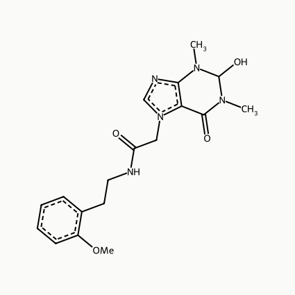 COc1ccccc1CCNC(=O)Cn1cnc2c1C(=O)N(C)C(O)N2C